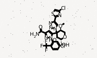 CO[C@H]1CO[C@H](CO)[C@H](O)C1(c1cc(C(N)=O)nn1-c1cc(Cl)ccc1C(F)(F)F)n1cc(-c2nc(Cl)cs2)nn1